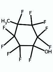 CC1(F)C(F)(F)C(F)(F)C(O)(F)C(F)(F)C1(F)F